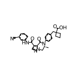 C[C@H]1Cn2ncc(C(=O)Nc3cccc(C#N)c3)c2C(=O)N1c1ccc(CC2(C(=O)O)CCC2)cc1